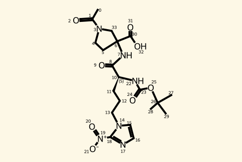 CC(=O)N1CCC(NC(=O)[C@H](CCCn2ccnc2[N+](=O)[O-])NC(=O)OC(C)(C)C)(C(=O)O)C1